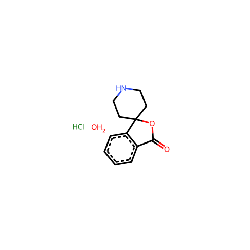 Cl.O.O=C1OC2(CCNCC2)c2ccccc21